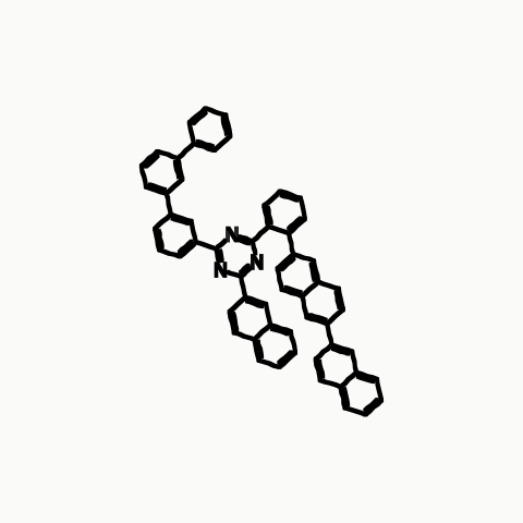 c1ccc(-c2cccc(-c3cccc(-c4nc(-c5ccc6ccccc6c5)nc(-c5ccccc5-c5ccc6cc(-c7ccc8ccccc8c7)ccc6c5)n4)c3)c2)cc1